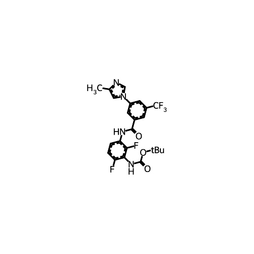 Cc1cn(-c2cc(C(=O)Nc3ccc(F)c(NC(=O)OC(C)(C)C)c3F)cc(C(F)(F)F)c2)cn1